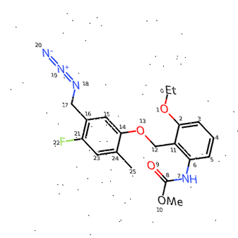 CCOc1cccc(NC(=O)OC)c1COc1cc(CN=[N+]=[N-])c(F)cc1C